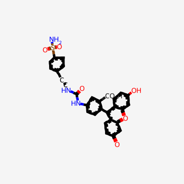 NS(=O)(=O)c1ccc(CCNC(=O)Nc2ccc(-c3c4ccc(=O)cc-4oc4cc(O)ccc34)c(C(=O)O)c2)cc1